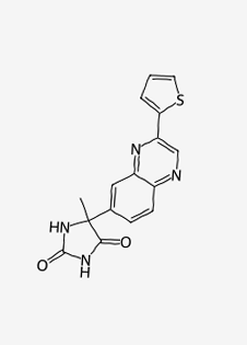 CC1(c2ccc3ncc(-c4cccs4)nc3c2)NC(=O)NC1=O